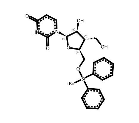 CC(C)(C)[Si](OC[C@H]1O[C@@H](n2ccc(=O)[nH]c2=O)[C@@H](O)[C@@H]1CO)(c1ccccc1)c1ccccc1